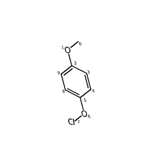 COc1ccc(OCl)cc1